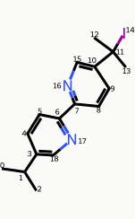 CC(C)c1ccc(-c2ccc(C(C)(C)I)cn2)nc1